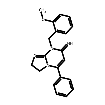 COc1ccccc1CN1C(=N)C=C(c2ccccc2)N2CCN=C12